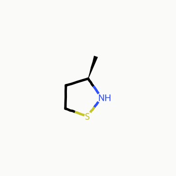 C[C@@H]1CCSN1